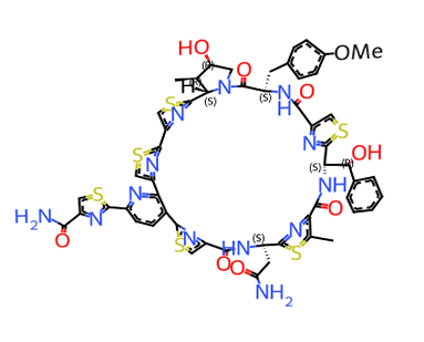 COc1ccc(C[C@@H]2NC(=O)c3csc(n3)[C@H]([C@H](O)c3ccccc3)NC(=O)c3nc(sc3C)[C@H](CC(N)=O)NC(=O)c3csc(n3)-c3ccc(-c4nc(C(N)=O)cs4)nc3-c3csc(n3)-c3csc(n3)[C@@H]3[C@@H](C)[C@@H](O)CN3C2=O)cc1